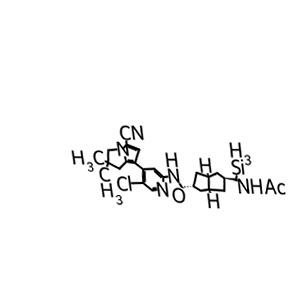 CC(=O)NC([SiH3])[C@@H]1C[C@H]2C[C@@H](C(=O)Nc3cc(-c4cc(C#N)n5c4CC(C)(C)C5)c(Cl)cn3)C[C@H]2C1